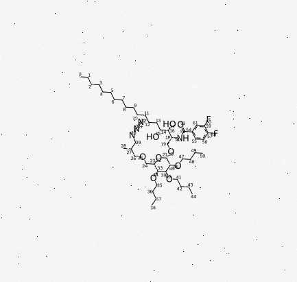 CCCCCCCCCCCCCC[C@@H](O)[C@@H](O)[C@H](CO[C@H]1OC(COCC(C)CN=[N+]=[N-])[C@H](OCCCC)[C@H](OCCCC)C1OCCCC)NC(=O)c1ccc(F)c(F)c1